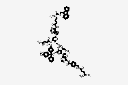 CCCOP(OC[C@H]1O[C@@H](n2cnc3c(NC(=O)CCCN(C)C(=O)OCC4c5ccccc5-c5ccccc54)ncnc32)CC1OC(=O)CCC(C)=O)OC1C[C@H](n2cnc3c(NC(=O)c4ccc(CNC(=O)CCC(C)C)cc4)ncnc32)O[C@@H]1COC(c1ccccc1)(c1ccc(OC)cc1)c1ccc(OC)cc1